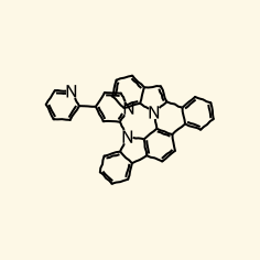 c1ccc(-c2ccnc(-n3c4ccccc4c4ccc5c6ccccc6c6cc7ccccc7n6c5c43)c2)nc1